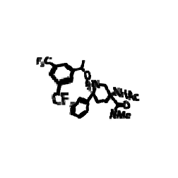 CNC(=O)[C@]1(NC(C)=O)CC[C@@](COC(C)c2cc(C(F)(F)F)cc(C(F)(F)F)c2)(c2ccccc2)NC1